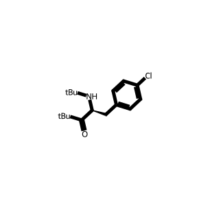 CC(C)(C)N[C@@H](Cc1ccc(Cl)cc1)C(=O)C(C)(C)C